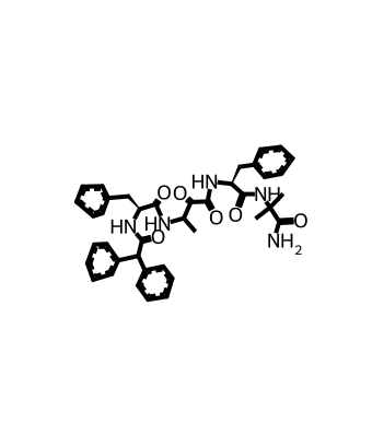 CC(NC(=O)[C@H](Cc1ccccc1)NC(=O)C(c1ccccc1)c1ccccc1)C(=O)C(=O)N[C@@H](Cc1ccccc1)C(=O)NC(C)(C)C(N)=O